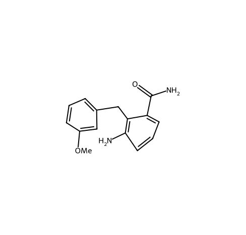 COc1cccc(Cc2c(N)cccc2C(N)=O)c1